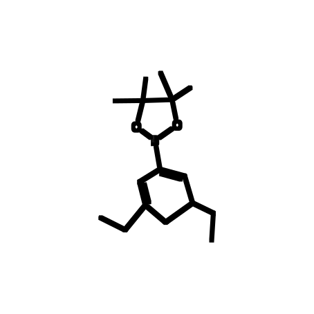 CCC1=CC(B2OC(C)(C)C(C)(C)O2)=CC(CC)C1